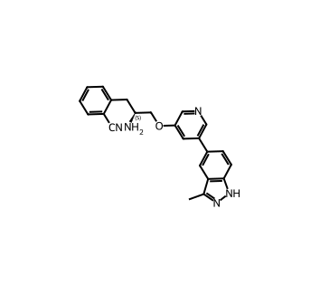 Cc1n[nH]c2ccc(-c3cncc(OC[C@@H](N)Cc4ccccc4C#N)c3)cc12